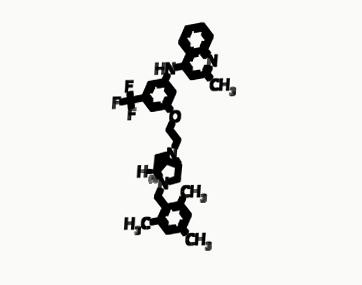 Cc1cc(C)c(CN2CC3C[C@H]2CN3CCOc2cc(Nc3cc(C)nc4ccccc34)cc(C(F)(F)F)c2)c(C)c1